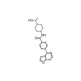 CC(O)C1CCC(NC(=O)c2ccc(-c3nccc4occc34)cc2)CC1